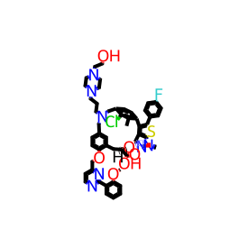 C=Nc1sc(-c2ccc(F)cc2)c2c1/C(=N\C)O[C@@H](C(=O)O)Cc1cc(ccc1OCc1ccnc(-c3ccccc3OC)n1)CN(CCCN1CCN(CCO)CC1)Cc1ccc-2c(C)c1Cl